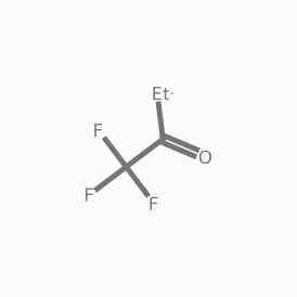 C[CH]C(=O)C(F)(F)F